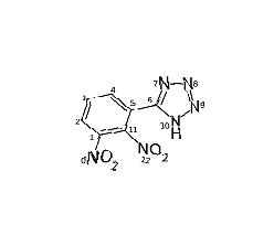 O=[N+]([O-])c1cccc(-c2nnn[nH]2)c1[N+](=O)[O-]